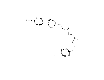 COc1ccc(-c2cnc(SCC(=O)NCC3CCN(Cc4ccc(Cl)c(Cl)c4)C3)nc2)cc1.Cl